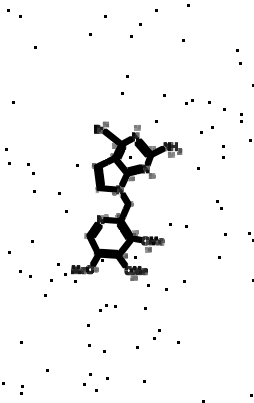 COc1cnc(Cn2ccc3c(Br)nc(N)nc32)c(OC)c1OC